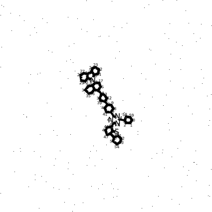 c1ccc(-c2nc(-c3ccc(-c4ccc(-c5ccc(-n6c7ccccc7c7ccccc76)c6ccccc56)cc4)cc3)nc(-c3cccc4c3sc3ccccc34)n2)cc1